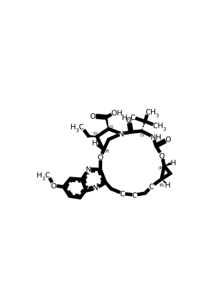 CC[C@@H]1[C@@H]2CN(C(=O)[C@H](C(C)(C)C)NC(=O)O[C@@H]3C[C@H]3CCCCCc3nc4ccc(OC)cc4nc3O2)[C@@H]1C(=O)O